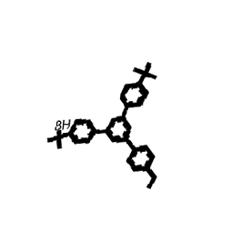 BC(C)(C)c1ccc(-c2cc(-c3ccc(CC)cc3)cc(-c3ccc(C(C)(C)C)cc3)c2)cc1